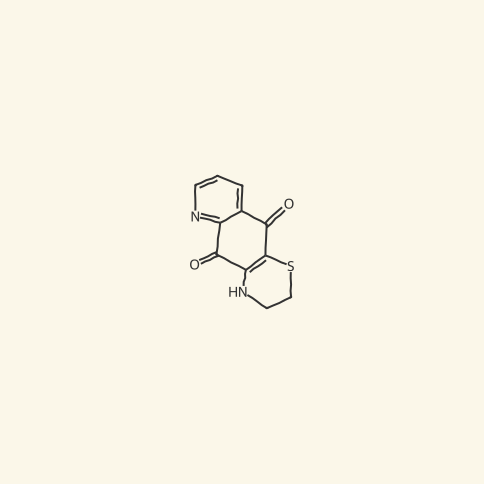 O=C1C2=C(NCCS2)C(=O)c2ncccc21